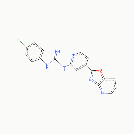 N=C(Nc1ccc(Cl)cc1)Nc1cc(-c2nc3ncccc3o2)ccn1